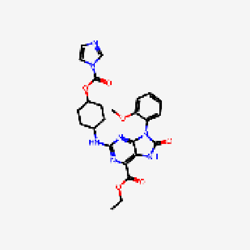 CCOC(=O)c1nc(NC2CCC(OC(=O)n3ccnc3)CC2)nc2c1[nH]c(=O)n2-c1ccccc1OC